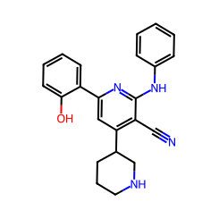 N#Cc1c(C2CCCNC2)cc(-c2ccccc2O)nc1Nc1ccccc1